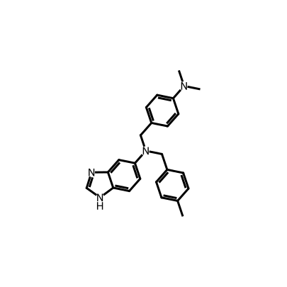 Cc1ccc(CN(Cc2ccc(N(C)C)cc2)c2ccc3[nH]cnc3c2)cc1